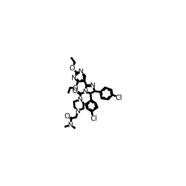 CCOc1ncc(C2=NC(c3ccc(Cl)cc3)C(c3ccc(Cl)cc3)N2C(=O)N2CCN(CC(=O)N(C)C)CC2)c(OCC)n1